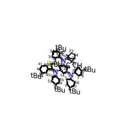 CC(C)(C)c1ccc(N(c2ccc(C(C)(C)C)cc2)c2cc3c4c(c2)N(C2C5(C)CCC(C5)C2(C)C)c2cc(C(C)(C)C)ccc2B4c2sc4ccc(C(C)(C)C)cc4c2N3c2ccc(C(C)(C)C)cc2)cc1